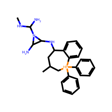 CNC(N)N1C(N)C1NC1CC(C)C[PH](c2ccccc2)(c2ccccc2)c2ccccc21